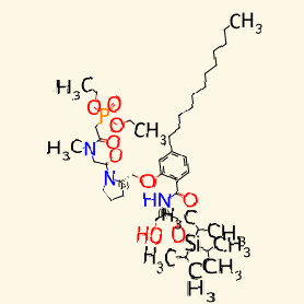 CCCCCCCCCCCCc1ccc(C(=O)N[C@H](CO)CO[Si](C(C)C)(C(C)C)C(C)C)c(OC[C@@H]2CCCN2C(=O)CN(C)C(=O)CP(=O)(OCC)OCC)c1